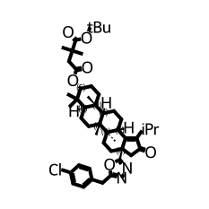 CC(C)C1=C2[C@H]3CC[C@@H]4[C@@]5(C)CC[C@H](OC(=O)CC(C)(C)C(=O)OC(C)(C)C)C(C)(C)[C@@H]5CC[C@@]4(C)[C@]3(C)CC[C@@]2(c2nnc(Cc3ccc(Cl)cc3)o2)CC1=O